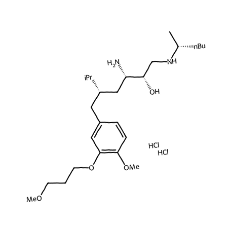 CCCC[C@@H](C)NC[C@H](O)[C@@H](N)C[C@H](Cc1ccc(OC)c(OCCCOC)c1)C(C)C.Cl.Cl